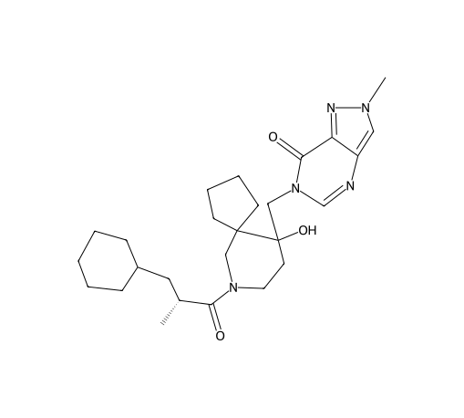 C[C@H](CC1CCCCC1)C(=O)N1CCC(O)(Cn2cnc3cn(C)nc3c2=O)C2(CCCC2)C1